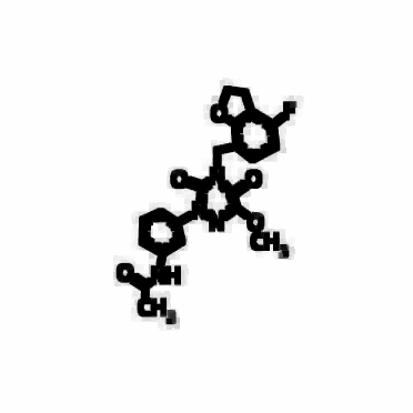 COc1nn(-c2cccc(NC(C)=O)c2)c(=O)n(Cc2ccc(F)c3c2OCC3)c1=O